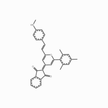 CNc1ccc(C=CC2=CC(=C3C(=O)c4ccccc4C3=O)C=C(c3c(C)cc(C)cc3C)O2)cc1